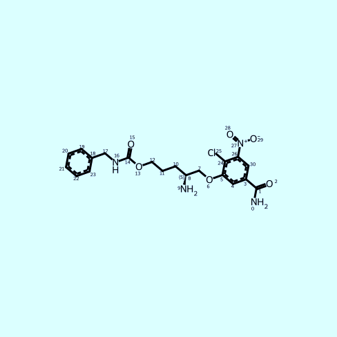 NC(=O)c1cc(OC[C@@H](N)CCCOC(=O)NCc2ccccc2)c(Cl)c([N+](=O)[O-])c1